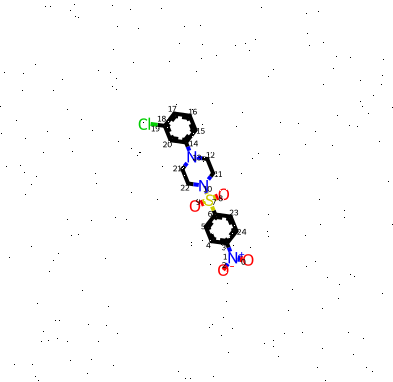 O=[N+]([O-])c1ccc(S(=O)(=O)N2CCN(c3cccc(Cl)c3)CC2)cc1